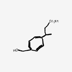 CCOC(=O)CC(C)c1ccc(CO)cc1